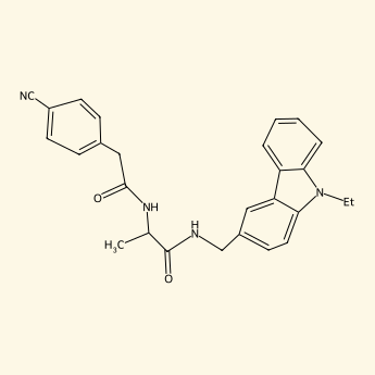 CCn1c2ccccc2c2cc(CNC(=O)C(C)NC(=O)Cc3ccc(C#N)cc3)ccc21